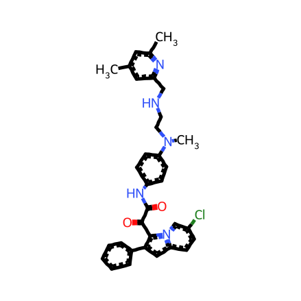 Cc1cc(C)nc(CNCCN(C)c2ccc(NC(=O)C(=O)c3c(-c4ccccc4)cc4ccc(Cl)cn34)cc2)c1